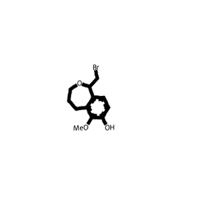 COc1c(O)ccc2c1CCCOC2CBr